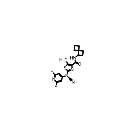 Cc1sc(N(C#N)c2cc(F)nc(F)c2)nc1C(=O)NC1CCC12CCC2